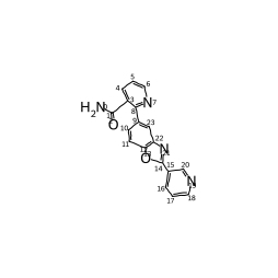 NC(=O)c1cccnc1-c1ccc2oc(-c3cccnc3)nc2c1